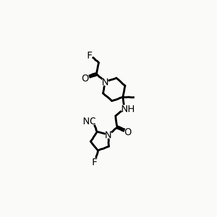 CC1(NCC(=O)N2CC(F)CC2C#N)CCN(C(=O)CF)CC1